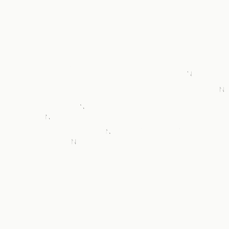 c1ccc(-c2nc(-c3ccccc3)nc(-n3c4ccccc4c4c5sc6cncnc6c5ccc43)n2)cc1